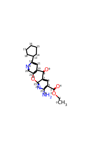 CCOC(=O)c1cc2c(=O)c3cc(C4CCCCC4)ncc3oc2nc1N